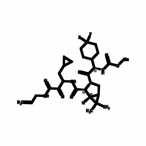 C=CCNC(=O)C(=O)C(CC1CC1)NC(=O)[C@@H]1[C@@H]2C(CN1C(=O)[C@@H](NC(=O)OC(C)(C)C)C1CCC(F)(F)CC1)C2(C)C